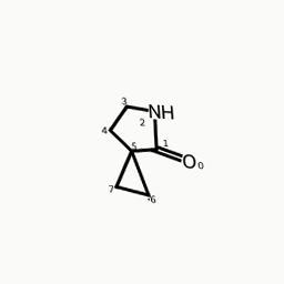 O=C1NCCC12[CH]C2